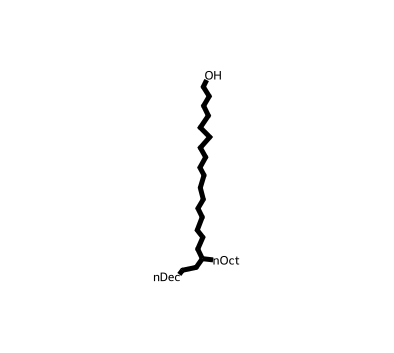 CCCCCCCCCCCCC(CCCCCCCC)CCCCCCCCCCCCCCCCCO